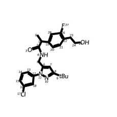 CC(C(=O)NCc1cc(C(C)(C)C)nn1-c1cccc(Cl)c1)c1ccc(CCO)c(F)c1